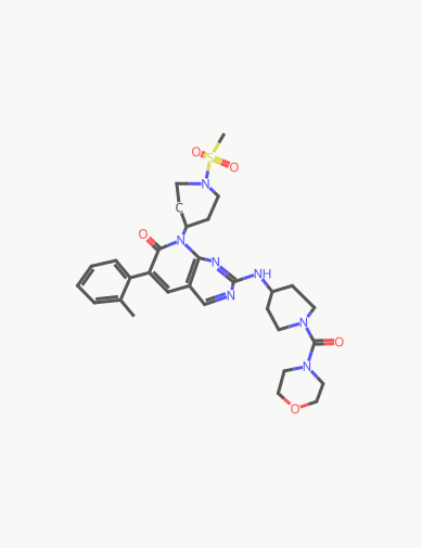 Cc1ccccc1-c1cc2cnc(NC3CCN(C(=O)N4CCOCC4)CC3)nc2n(C2CCN(S(C)(=O)=O)CC2)c1=O